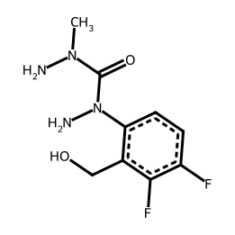 CN(N)C(=O)N(N)c1ccc(F)c(F)c1CO